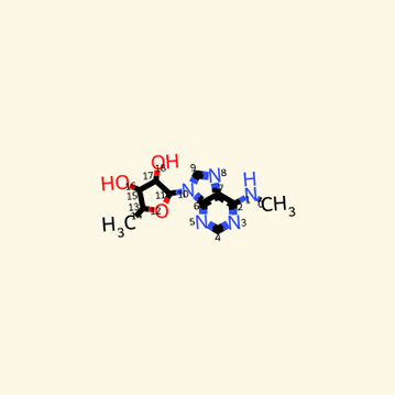 CNc1ncnc2c1ncn2C1OC(C)C(O)C1O